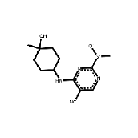 C[S+]([O-])c1ncc(C#N)c(NC2CCC(C)(O)CC2)n1